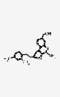 Cc1ccc(CCc2cnc3c(N)nc4cc(CO)ccc4c3c2)c(C)c1